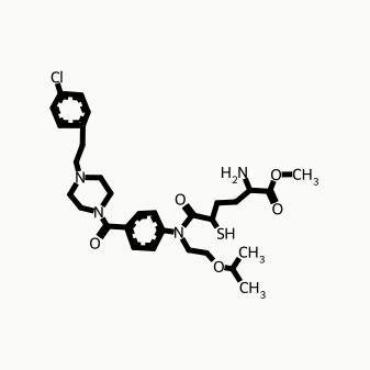 COC(=O)C(N)CCC(S)C(=O)N(CCOC(C)C)c1ccc(C(=O)N2CCN(CCc3ccc(Cl)cc3)CC2)cc1